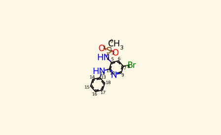 CS(=O)(=O)Nc1cc(Br)cnc1Nc1ccccc1